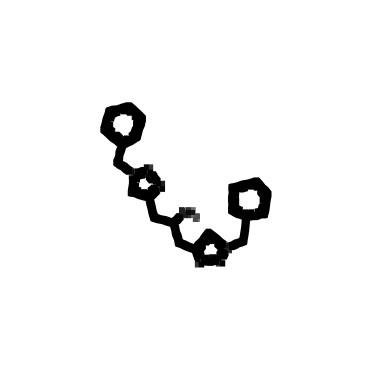 NC(Cc1cn(Cc2ccccc2)nn1)Cc1cn(Cc2ccccc2)nn1